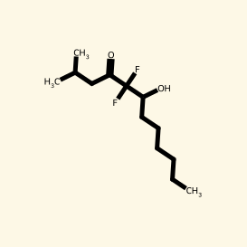 CCCCCCC(O)C(F)(F)C(=O)CC(C)C